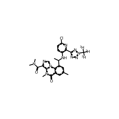 [2H]C([2H])([2H])n1nnc(-c2nc(Cl)ccc2NC(C)c2cc(C)cc3c(=O)n(C)c4c(C(=O)N(C)C)ncn4c23)n1